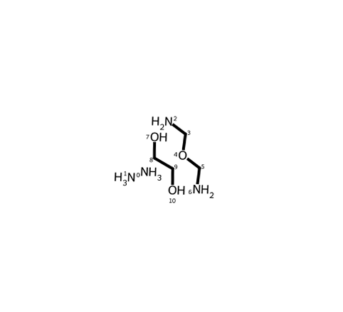 N.N.NCOCN.OCCO